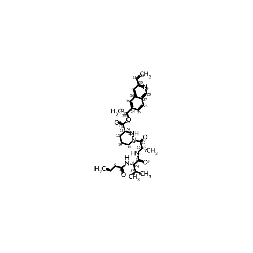 C=CCC(=O)N[C@H](C(=O)N[C@@H](C)C(=O)N1CCC[C@@H](C(=O)O[C@H](C)c2ccc3cnc(C=C)cc3c2)N1)C(C)C